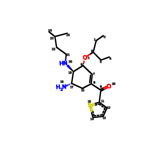 CCC(CC)O[C@@H]1C=C(C(=O)c2cccs2)C[C@H](N)[C@H]1NCCC(C)C